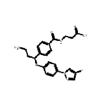 CCCC(Oc1ccc(-n2cc(F)cn2)cc1)c1ccc(C(=O)NCCC(=O)O)cc1